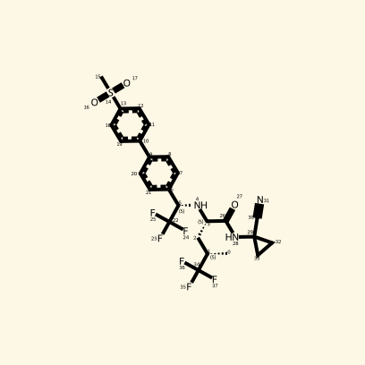 C[C@@H](C[C@H](N[C@@H](c1ccc(-c2ccc(S(C)(=O)=O)cc2)cc1)C(F)(F)F)C(=O)NC1(C#N)CC1)C(F)(F)F